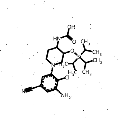 CC(C)[Si](OC1CN(c2cc(C#N)cc(N)c2Cl)CCC1NC(=O)O)(C(C)C)C(C)C